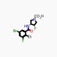 CCc1c(F)cc(Br)cc1C(=O)N[C@@H]1CN(C(=O)O)C[C@@H]1F